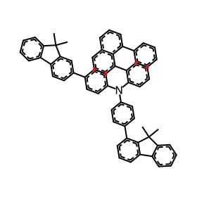 CC1(C)c2ccccc2-c2ccc(-c3ccc(N(c4ccc(-c5cccc6c5C(C)(C)c5ccccc5-6)cc4)c4ccccc4-c4cccc5cccc(-c6ccccc6)c45)cc3)cc21